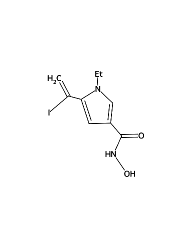 C=C(I)c1cc(C(=O)NO)cn1CC